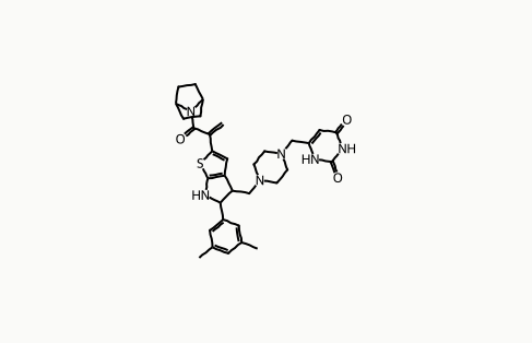 C=C(C(=O)N1C2CCC1CC2)c1cc2c(s1)NC(c1cc(C)cc(C)c1)C2CN1CCN(Cc2cc(=O)[nH]c(=O)[nH]2)CC1